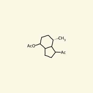 CC(=O)OC1CC[C@H](C)C2C(C(C)=O)CCC12